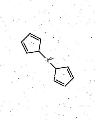 C1=C[CH]([Hf+2][CH]2C=CC=C2)C=C1